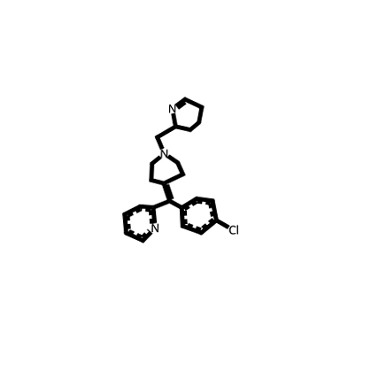 Clc1ccc(C(=C2CCN(CC3CCCC=N3)CC2)c2ccccn2)cc1